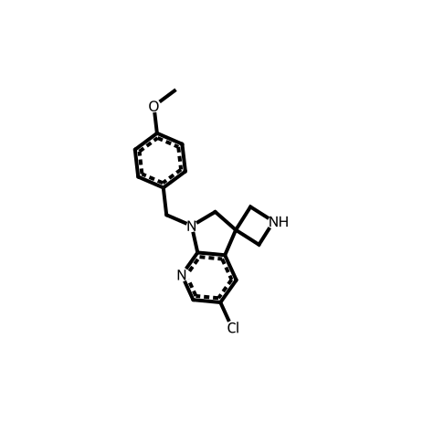 COc1ccc(CN2CC3(CNC3)c3cc(Cl)cnc32)cc1